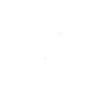 [O-][S+]1CC2(CCN(CCCc3ccc(C(F)(F)F)cc3)C2)C1